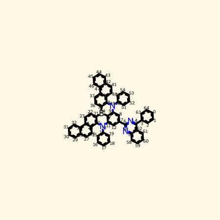 c1ccc(-c2nc(-c3cc4c5c(c3)N(c3ccccc3)c3c(ccc6c3ccc3ccccc36)B5c3ccc5c(ccc6ccccc65)c3N4c3ccccc3)nc3ccccc23)cc1